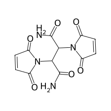 NC(=O)C(C(C(N)=O)N1C(=O)C=CC1=O)N1C(=O)C=CC1=O